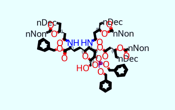 CCCCCCCCCCC[C@H](CC(=O)N[C@@H]1[C@@H](OC(=O)C[C@@H](CCCCCCCCCCC)OC(=O)CCCCCCCCC)[C@H](OP(=O)(OCc2ccccc2)OCc2ccccc2)[C@@H](CO)O[C@H]1CC[C@H](NC(=O)C[C@@H](CCCCCCCCCCC)OC(=O)CCCCCCCCC)C(=O)OCc1ccccc1)OC(=O)CCCCCCCCC